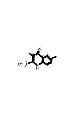 CCOC(=O)c1[nH]c2ccc(C)cc2c(=O)c1C